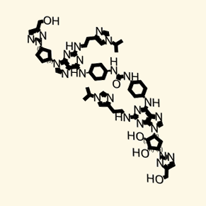 CC(C)n1cnc(CCNc2nc(N[C@H]3CC[C@H](NC(=O)N[C@H]4CC[C@H](Nc5nc(NCCc6cn(C(C)C)cn6)nc6c5ncn6[C@@H]5C[C@H](n6ncc(CO)n6)[C@@H](O)[C@H]5O)CC4)CC3)c3ncn([C@H]4CC[C@@H](n5ncc(CO)n5)C4)c3n2)c1